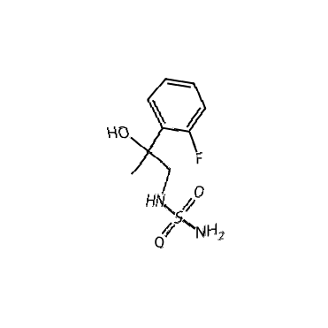 CC(O)(CNS(N)(=O)=O)c1ccccc1F